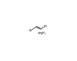 CC/C=C/Br.[MgH2]